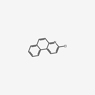 Clc1ccc2c(ccc3ccccc32)n1